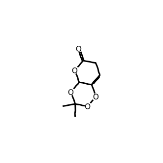 CC1(C)OOC23CCCCC2CC(=O)OC3O1